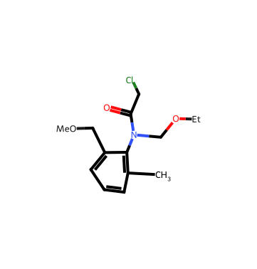 CCOCN(C(=O)CCl)c1c(C)cccc1COC